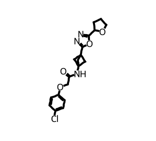 O=C(COc1ccc(Cl)cc1)NC12CC(c3nnc(C4CCCO4)o3)(C1)C2